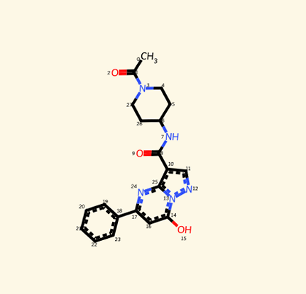 CC(=O)N1CCC(NC(=O)c2cnn3c(O)cc(-c4ccccc4)nc23)CC1